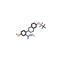 COc1ccc(C2CCc3cc(O[Si](C)(C)C(C)(C)C)ccc3C2)c(C(C)N)c1